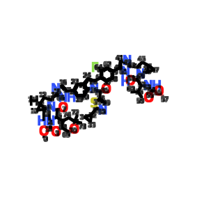 COC(=O)NC(C(=O)N1[C@@H]2C[C@@H]2C[C@H]1c1ncc(-c2ccc3c(c2)cc2n3C(c3cnc(C4CC4)s3)Oc3cc(-c4cnc([C@@H]5CC6CC6N5C(=O)[C@@H](NC(=O)OC)C(C)C)[nH]4)cc(F)c3-2)[nH]1)C1CCOC(C)(C)C1